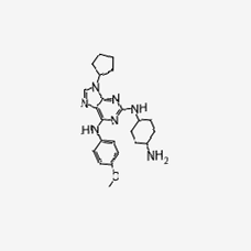 COc1ccc(Nc2nc(NC3CCC(N)CC3)nc3c2ncn3C2CCCC2)cc1